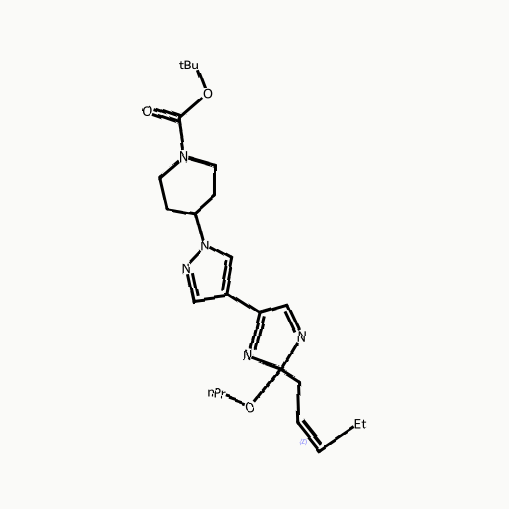 CC/C=C\CC1(OCCC)N=CC(c2cnn(C3CCN(C(=O)OC(C)(C)C)CC3)c2)=N1